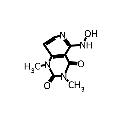 Cn1c(=O)c2c(NO)nccc2n(C)c1=O